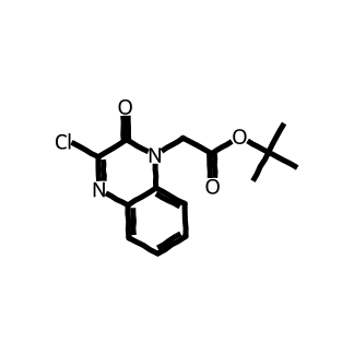 CC(C)(C)OC(=O)Cn1c(=O)c(Cl)nc2ccccc21